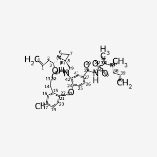 C=CCC(O)[C@@H]1CC[C@H]1CN1CCCCc2cc(Cl)ccc2COc2ccc(C(=O)NS(=O)(=O)[C@@H](C)[C@@H](C)CC=C)cc21